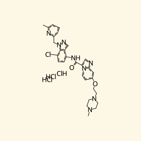 Cc1cccc(Cn2ncc3c(NC(=O)c4cnc5cc(OCCN6CCN(C)CC6)ccn45)ccc(Cl)c32)n1.Cl.Cl.Cl